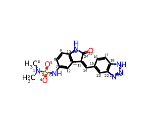 CN(C)S(=O)(=O)Nc1ccc2c(c1)C(=Cc1ccc3[nH]nnc3c1)C(=O)N2